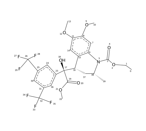 CCOC(=O)N1c2cc(OC)c(OC)cc2[C@@H]([C@](O)(C(=O)OC)c2cc(C(F)(F)F)cc(C(F)(F)F)c2)C[C@H]1C